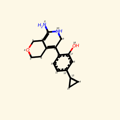 NC1=C2COCCC2=C(c2ccc(C3CC3)cc2O)CN1